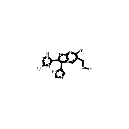 CCOCc1cn2c(-c3cnc[nH]3)c(-c3nc(C(F)(F)F)n[nH]3)nc2nc1C(F)(F)F